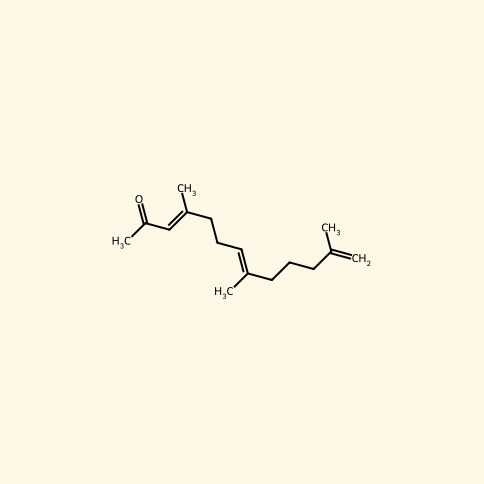 C=C(C)CCCC(C)=CCCC(C)=CC(C)=O